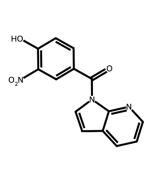 O=C(c1ccc(O)c([N+](=O)[O-])c1)n1ccc2cccnc21